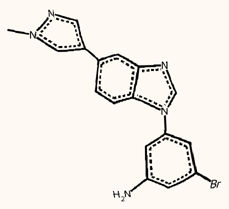 Cn1cc(-c2ccc3c(c2)ncn3-c2cc(N)cc(Br)c2)cn1